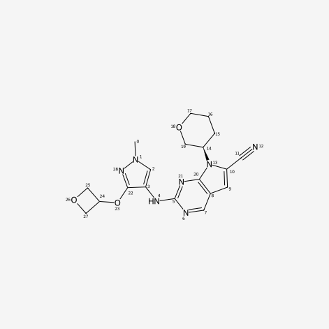 Cn1cc(Nc2ncc3cc(C#N)n([C@@H]4CCCOC4)c3n2)c(OC2COC2)n1